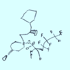 O=C1CCS(CC(=O)C2CCCCC2)(OS(=O)(=O)C(F)(F)C(F)(F)C(F)(F)C(F)(F)F)CC1